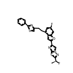 C[C@H](F)c1nn2cc(-c3cc4c(CCc5csc(-c6ccccc6)n5)cc(F)cc4o3)nc2s1